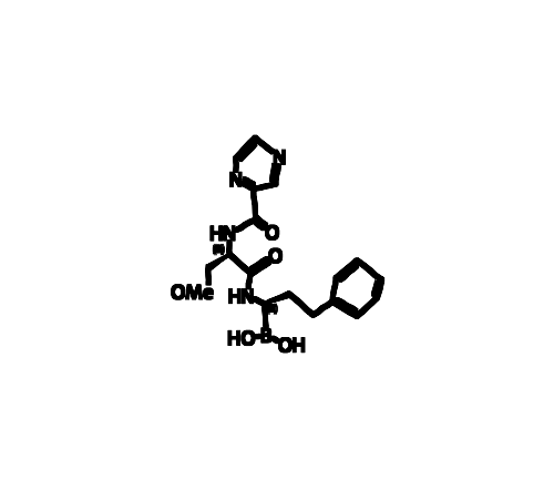 COC[C@@H](NC(=O)c1cnccn1)C(=O)N[C@@H](CCc1ccccc1)B(O)O